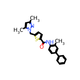 Cc1cc(C)n(Cc2ccc(C(=O)Nc3ccc(-c4ccccc4)cc3C)s2)n1